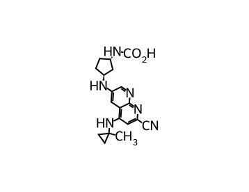 CC1(Nc2cc(C#N)nc3ncc(N[C@H]4CC[C@H](NC(=O)O)C4)cc23)CC1